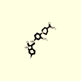 Cc1cc(NC=C2C(=O)Nc3cc(F)ccc32)ccc1N1CCC(C(N)=O)CC1